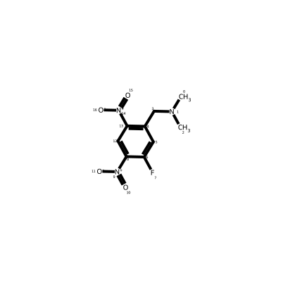 CN(C)Cc1cc(F)c([N+](=O)[O-])cc1[N+](=O)[O-]